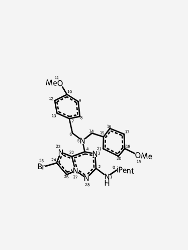 CCCC(C)Nc1nc(N(Cc2ccc(OC)cc2)Cc2ccc(OC)cc2)c2nc(Br)cn2n1